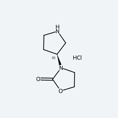 Cl.O=C1OCCN1[C@H]1CCNC1